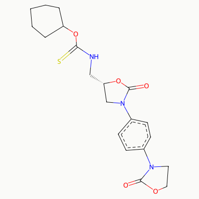 O=C1OCCN1c1ccc(N2C[C@H](CNC(=S)OC3CCCCC3)OC2=O)cc1